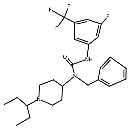 CCC(CC)N1CCC(N(Cc2ccccc2)C(=O)Nc2cc(F)cc(C(F)(F)F)c2)CC1